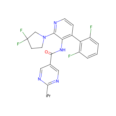 CC(C)c1ncc(C(=O)Nc2c(-c3c(F)cccc3F)ccnc2N2CCC(F)(F)C2)cn1